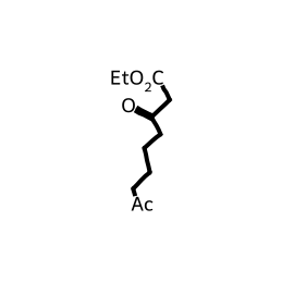 CCOC(=O)CC(=O)CCCCC(C)=O